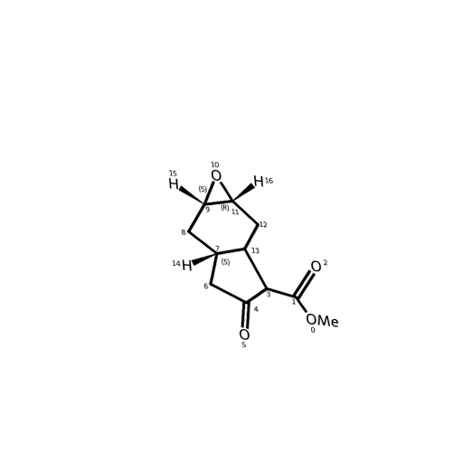 COC(=O)C1C(=O)C[C@@H]2C[C@@H]3O[C@@H]3CC12